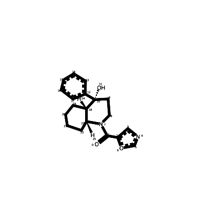 O=C(c1cnco1)N1CC[C@](O)(c2ccccc2)[C@H]2CCCC[C@H]21